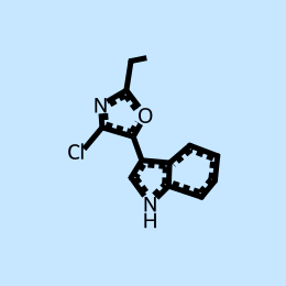 CCc1nc(Cl)c(-c2c[nH]c3ccccc23)o1